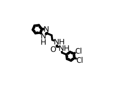 O=C(NCCc1nc2ccccc2[nH]1)NCc1ccc(Cl)c(Cl)c1